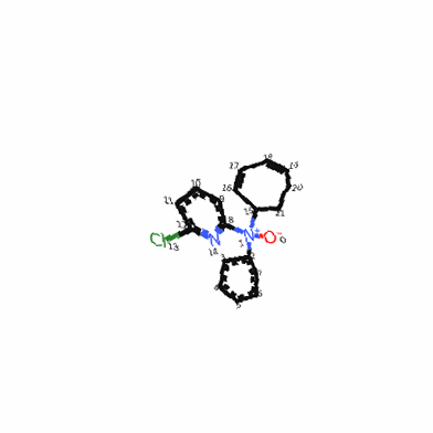 [O-][N+](c1ccccc1)(c1cccc(Cl)n1)C1C=CC=CCC1